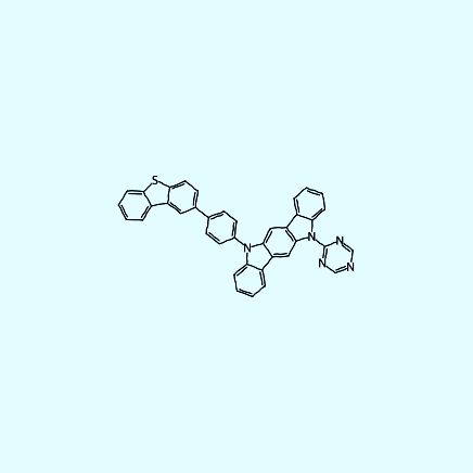 c1ccc2c(c1)sc1ccc(-c3ccc(-n4c5ccccc5c5cc6c(cc54)c4ccccc4n6-c4ncncn4)cc3)cc12